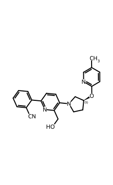 Cc1ccc(O[C@H]2CCN(c3ccc(-c4ccccc4C#N)nc3CO)C2)nc1